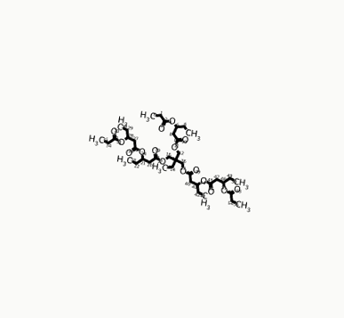 CCC(=O)OC(CC)CC(=O)OCC(CC)(COC(=O)CC(CC)OC(=O)CC(CC)OC(=O)CC)COC(=O)CC(CC)OC(=O)CC(CC)OC(=O)CC